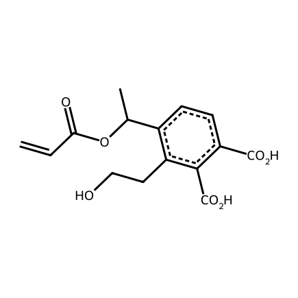 C=CC(=O)OC(C)c1ccc(C(=O)O)c(C(=O)O)c1CCO